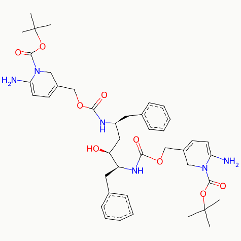 CC(C)(C)OC(=O)N1CC(COC(=O)N[C@@H](Cc2ccccc2)C[C@H](O)[C@H](Cc2ccccc2)NC(=O)OCC2=CC=C(N)N(C(=O)OC(C)(C)C)C2)=CC=C1N